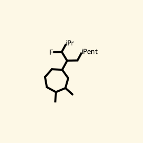 CCCC(C)CC(C1CCCC(C)C(C)C1)C(F)C(C)C